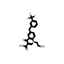 O=C(O)c1cn(CCO)c2ccc(Cc3cccc(C(F)(F)F)c3)cc2c1=O